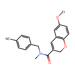 CCOc1ccc2c(c1)C=C(C(=O)N(C)Cc1ccc(C#N)cc1)CO2